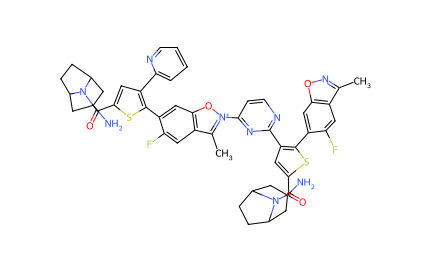 Cc1noc2cc(-c3sc(C(=O)N4C5CCC4CC(N)C5)cc3-c3nccc(-[n+]4oc5cc(-c6sc(C(=O)N7C8CCC7CC(N)C8)cc6-c6ccccn6)c(F)cc5c4C)n3)c(F)cc12